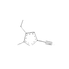 Cc1sc(C#N)cc1CCl